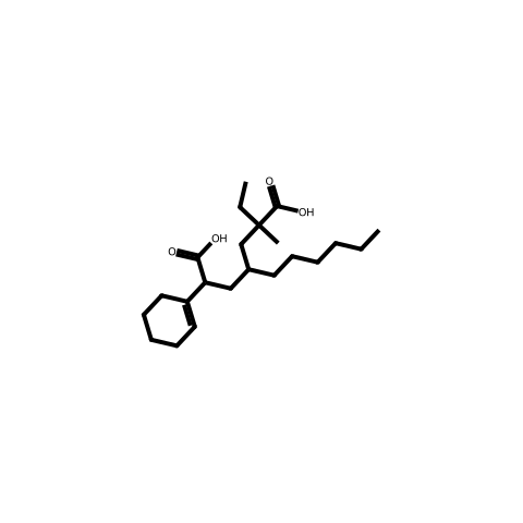 CCCCCCC(CC(C(=O)O)C1=CCCCC1)CC(C)(CC)C(=O)O